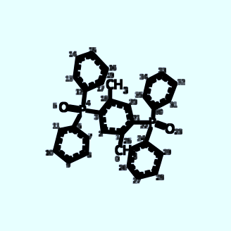 Cc1cc(P(=O)(c2ccccc2)c2ccccc2)c(C)cc1P(=O)(c1ccccc1)c1ccccc1